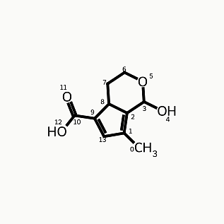 CC1=C2C(O)OCCC2C(C(=O)O)=C1